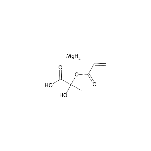 C=CC(=O)OC(C)(O)C(=O)O.[MgH2]